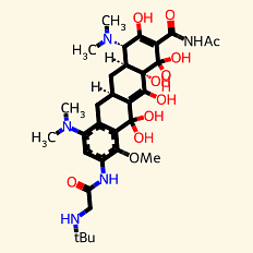 COc1c(NC(=O)CNC(C)(C)C)cc(N(C)C)c2c1C(O)(O)C1=C(O)[C@@]3(O)[C@@H](C[C@@H]1C2)[C@H](N(C)C)C(O)=C(C(=O)NC(C)=O)C3(O)O